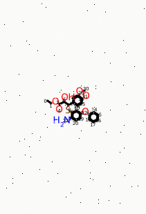 CCOC(=O)C(O)C(Sc1cc(Oc2ccccc2)ccc1N)c1ccc2c(c1)OCO2